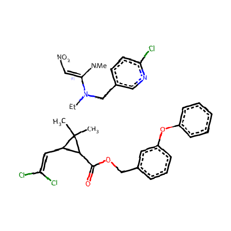 CC1(C)C(C=C(Cl)Cl)C1C(=O)OCc1cccc(Oc2ccccc2)c1.CCN(Cc1ccc(Cl)nc1)/C(=C/[N+](=O)[O-])NC